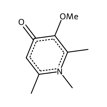 COc1c(C)n(C)c(C)cc1=O